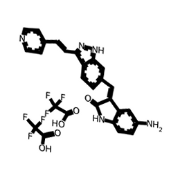 Nc1ccc2c(c1)C(=Cc1ccc3c(C=Cc4ccncc4)n[nH]c3c1)C(=O)N2.O=C(O)C(F)(F)F.O=C(O)C(F)(F)F